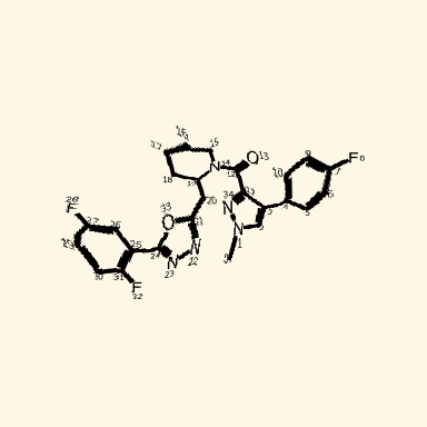 Cn1cc(-c2ccc(F)cc2)c(C(=O)N2CCCCC2Cc2nnc(-c3cc(F)ccc3F)o2)n1